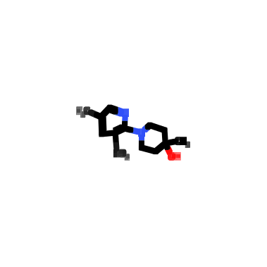 CC1(O)CCN(c2ncc(C(F)(F)F)cc2[N+](=O)[O-])CC1